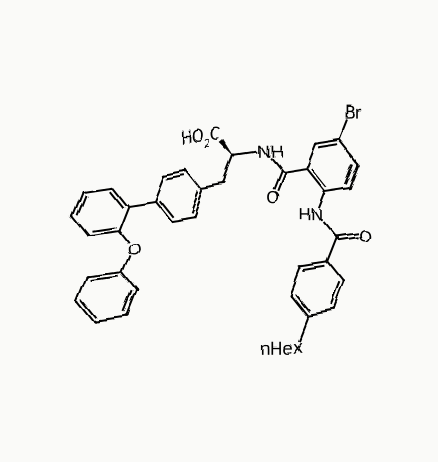 CCCCCCc1ccc(C(=O)Nc2ccc(Br)cc2C(=O)N[C@@H](Cc2ccc(-c3ccccc3Oc3ccccc3)cc2)C(=O)O)cc1